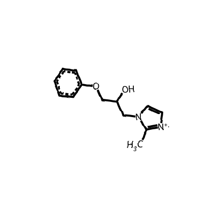 CC1=[N+]C=CN1CC(O)COc1ccccc1